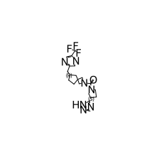 O=C(N1CC[C@H](c2ncn[nH]2)C1)N1CC2(CC[C@@H](Cc3cnc(C(F)(F)F)cn3)C2)C1